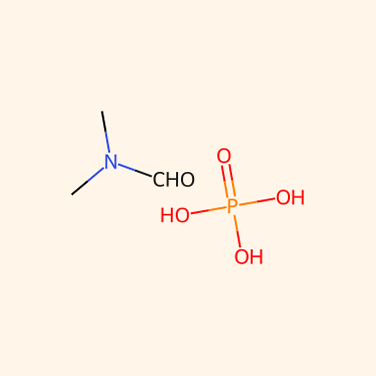 CN(C)C=O.O=P(O)(O)O